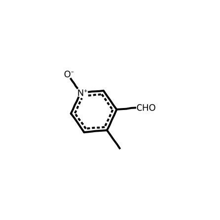 Cc1cc[n+]([O-])cc1C=O